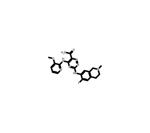 COc1cccnc1Nc1nc(Nc2cc3c(cc2F)CCN(C)C3)nnc1C(N)=O